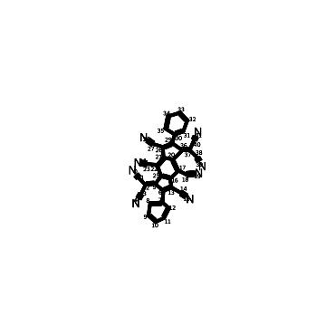 N#CC(C#N)=C1C(c2ccccc2)=C(C#N)c2c(C#N)c3c(c(C#N)c21)C(C#N)=C(c1ccccc1)C3=C(C#N)C#N